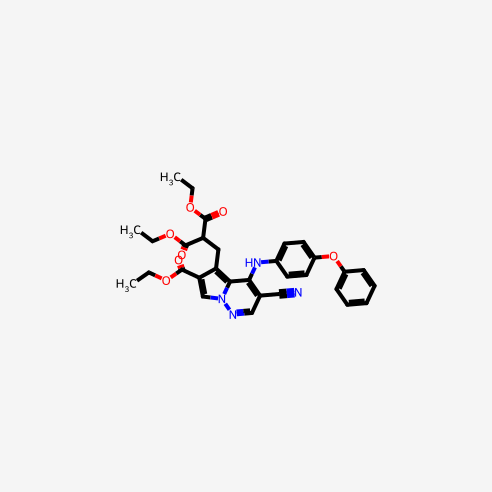 CCOC(=O)c1cn2ncc(C#N)c(Nc3ccc(Oc4ccccc4)cc3)c2c1CC(C(=O)OCC)C(=O)OCC